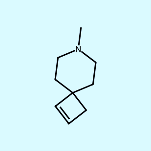 CN1CCC2(C=CC2)CC1